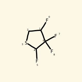 FC1CSC(F)C1(F)F